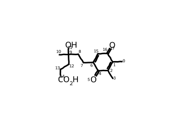 CC1=C(C)C(=O)C(CCC(C)(O)CCC(=O)O)=CC1=O